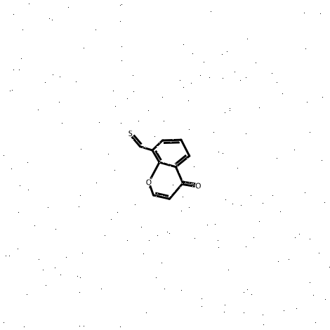 O=c1ccoc2c(C=S)cccc12